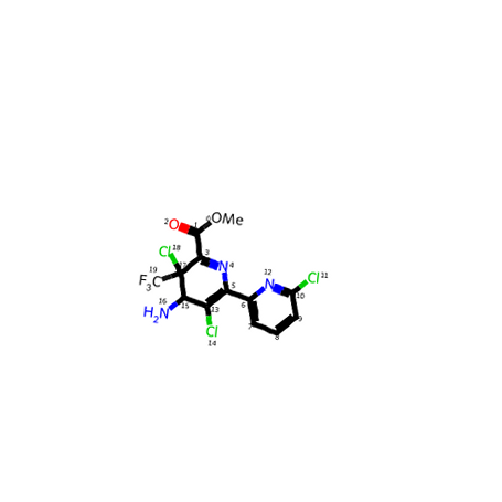 COC(=O)C1=NC(c2cccc(Cl)n2)=C(Cl)C(N)C1(Cl)C(F)(F)F